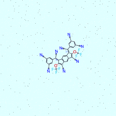 N#CC1=C(OC(F)(F)F)/C(=C(/C#N)c2cc(C#N)cc(C#N)c2)c2cc3c(cc21)C(C#N)=C(OC(F)(F)F)/C3=C(/C#N)c1cc(C#N)cc(C#N)c1